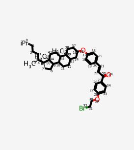 CC(C)CCC[C@@H](C)[C@H]1CCC2C3CCC4CC(Oc5ccc(C=CC(=O)c6ccc(OCCBr)cc6)cc5)CC[C@]4(C)C3CC[C@@]21C